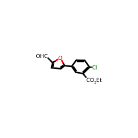 CCOC(=O)c1cc(-c2ccc(C=O)o2)ccc1Cl